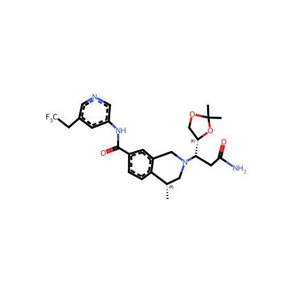 C[C@H]1CN(C(CC(N)=O)[C@@H]2COC(C)(C)O2)Cc2cc(C(=O)Nc3cncc(CC(F)(F)F)c3)ccc21